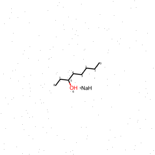 CCCCCC(O)CC.[NaH]